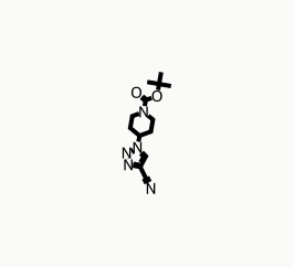 CC(C)(C)OC(=O)N1CCC(n2cc(C#N)nn2)CC1